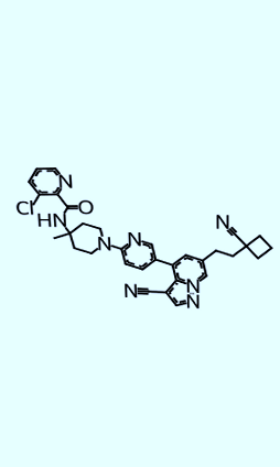 CC1(NC(=O)c2ncccc2Cl)CCN(c2ccc(-c3cc(CCC4(C#N)CCC4)cn4ncc(C#N)c34)cn2)CC1